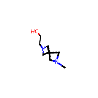 CN1CC2(C1)CN(CCO)C2